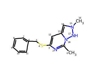 CC1=NC(SCc2ccccc2)=CC2=CN(C)NN21